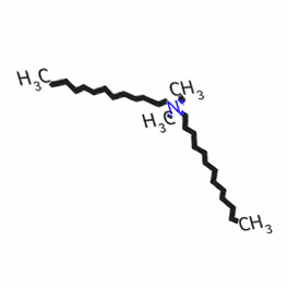 CCCCCCCCCCCCC[N+](C)(CC)CCCCCCCCCCCCC